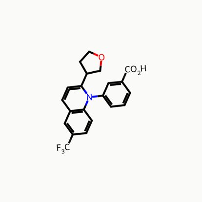 O=C(O)c1cccc(N2C(C3CCOC3)=C=Cc3cc(C(F)(F)F)ccc32)c1